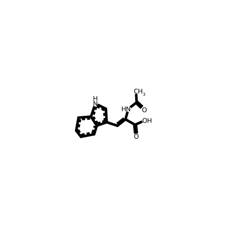 CC(=O)NC(=Cc1c[nH]c2ccccc12)C(=O)O